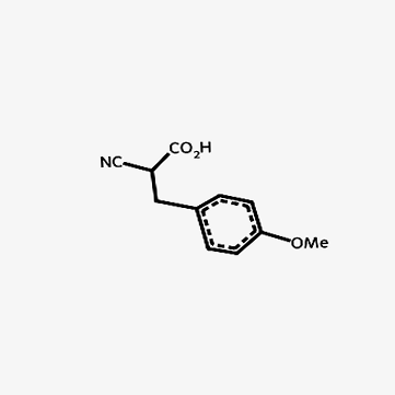 COc1ccc(CC(C#N)C(=O)O)cc1